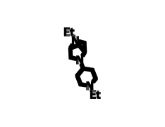 CCN1CCC(N2CC3CC2CN3CC)CC1